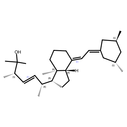 C[C@@H]1CC(=C/C=C2\CCC[C@]3(C)[C@@H]([C@H](C)/C=C/[C@H](C)C(C)(C)O)CC[C@@H]23)C[C@@H](C)C1